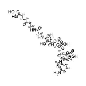 CC(C)(COP(=O)(O)OP(=O)(O)OC[C@H]1O[C@@H](n2cnc3c(N)ncnc32)[C@H](O)[C@@H]1OP(=O)(O)O)[C@@H](O)C(=O)NCCC(=O)NCCSC(=O)C=CC=C(O)C(=O)O